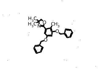 Cc1c(OCc2ccccc2)cc(OCc2ccccc2)cc1C1=NC(C)(C)CO1